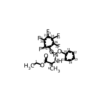 CCOC(=O)[C@H](C)N[P@](Oc1ccccc1)Oc1c(F)c(F)c(F)c(F)c1F